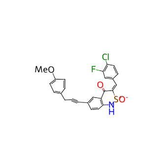 COc1ccc(CC#Cc2ccc3c(c2)C(=O)/C(=C\c2ccc(Cl)c(F)c2)[S+]([O-])N3)cc1